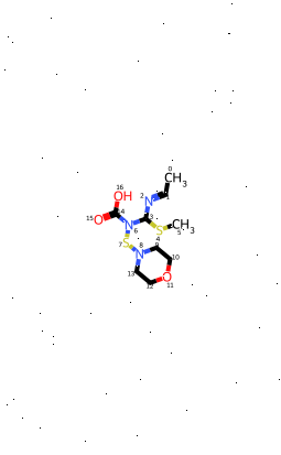 CC=NC(SC)N(SN1CCOCC1)C(=O)O